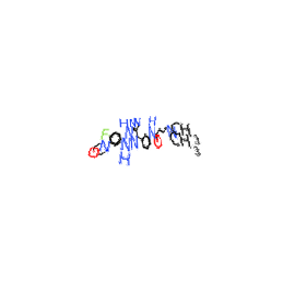 CN(C)C/C=C/C(=O)Nc1cccc(-c2nc(Nc3ccc(F)c(N4CCOCC4)c3)nc3[nH]ncc23)c1